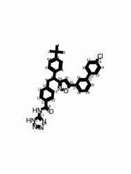 CC(C)(C)c1ccc(C(Cc2ccc(C(=O)Nc3nnn[nH]3)cc2)c2cc(-c3cccc(-c4ccc(Cl)cc4)c3)on2)cc1